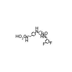 O=C(O)NCCc1ccc(NC2CCN(C(=O)NCc3cc(F)cc(F)c3)CC2)cc1